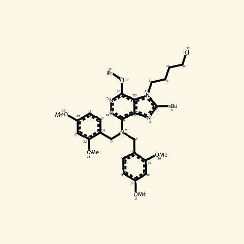 CCCCc1nc2c(N(Cc3ccc(OC)cc3OC)Cc3ccc(OC)cc3OC)nnc(OC(C)C)c2n1CCCCCl